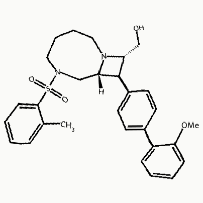 COc1ccccc1-c1ccc(C2[C@@H](CO)N3CCCCN(S(=O)(=O)c4ccccc4C)C[C@@H]23)cc1